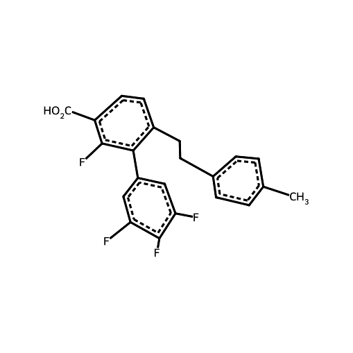 Cc1ccc(CCc2ccc(C(=O)O)c(F)c2-c2cc(F)c(F)c(F)c2)cc1